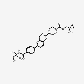 CC1(COC(=O)N2CCC(C3OCc4cc(-c5ccc(C(=O)NC(C)(C)CO)cc5)ccc4O3)CC2)CC1